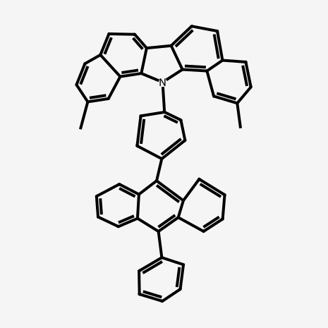 Cc1ccc2ccc3c4ccc5ccc(C)cc5c4n(-c4ccc(-c5c6ccccc6c(-c6ccccc6)c6ccccc56)cc4)c3c2c1